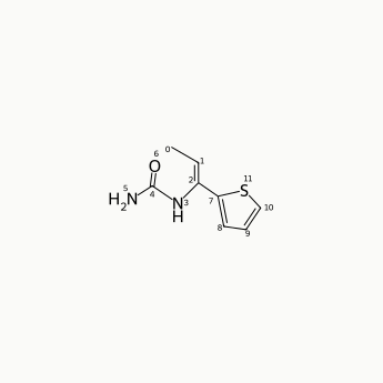 CC=C(NC(N)=O)c1cccs1